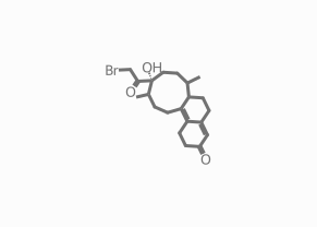 CC1CC[C@](O)(C(=O)CBr)C(C)CCC2=C3CCC(=O)C=C3CCC21